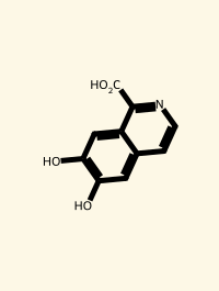 O=C(O)c1nccc2cc(O)c(O)cc12